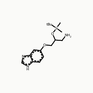 CC(C)(C)[Si](C)(C)OC(CN)COc1ccc2[nH]cnc2c1